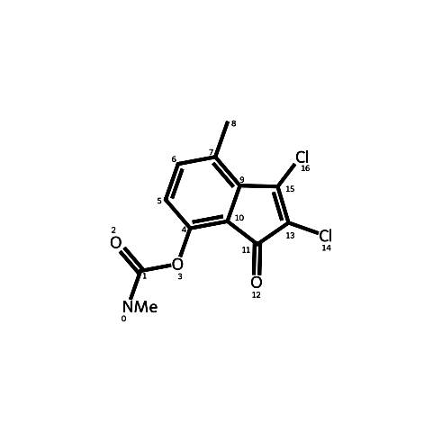 CNC(=O)Oc1ccc(C)c2c1C(=O)C(Cl)=C2Cl